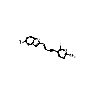 COc1ccc2oc(C=CC#Cc3ccc(N)nc3F)cc2c1